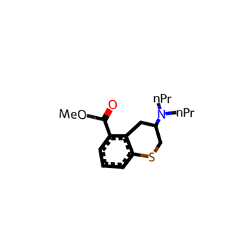 CCCN(CCC)C1CSc2cccc(C(=O)OC)c2C1